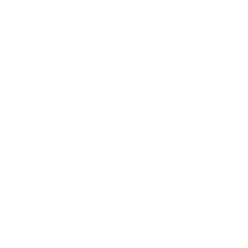 CCCCCCCCCCCCCC=C/C=C/C(=O)OC